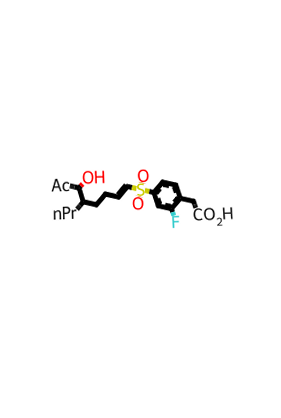 CCCC(CCC=CS(=O)(=O)c1ccc(CC(=O)O)c(F)c1)C(O)C(C)=O